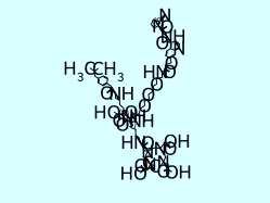 CC(C)Cc1ccc(CC(=O)NCCCC[C@H](NC(=O)[C@H](CCCCNC(=O)CN2CCN(CC(=O)O)CCN(CC(=O)O)CCN(CC(=O)O)CC2)NC(=O)CCOCCOCCOCCNC(=O)COc2ccc3c(C(=O)NCC(=O)N4CCC[C@H]4C#N)ccnc3c2)C(=O)O)cc1